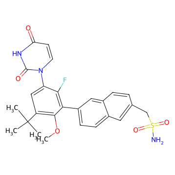 COc1c(C(C)(C)C)cc(-n2ccc(=O)[nH]c2=O)c(F)c1-c1ccc2cc(CS(N)(=O)=O)ccc2c1